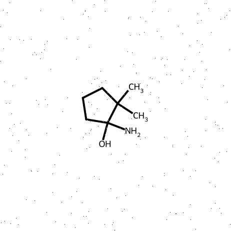 CC1(C)CCCC1(N)O